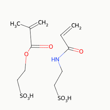 C=C(C)C(=O)OCCS(=O)(=O)O.C=CC(=O)NCCS(=O)(=O)O